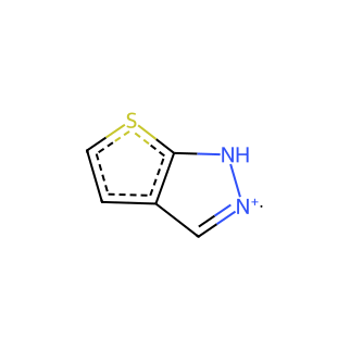 C1=[N+]Nc2sccc21